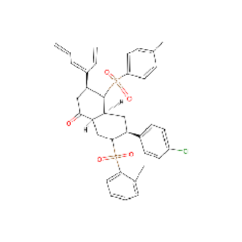 C=C/C=C(\C=C)[C@@H]1CC(=O)[C@@H]2CC(S(=O)(=O)c3ccccc3C)[C@H](c3ccc(Cl)cc3)C[C@@H]2C1S(=O)(=O)c1ccc(C)cc1